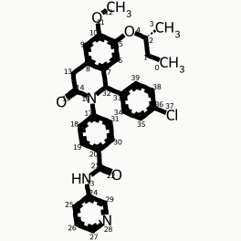 CC[C@@H](C)Oc1cc2c(cc1OC)CC(=O)N(c1ccc(C(=O)Nc3cccnc3)cc1)C2c1ccc(Cl)cc1